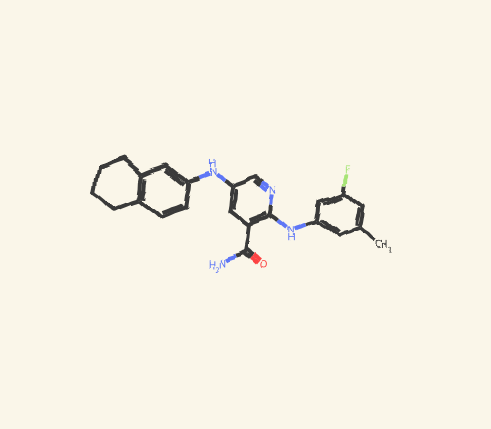 Cc1cc(F)cc(Nc2ncc(Nc3ccc4c(c3)CCCC4)cc2C(N)=O)c1